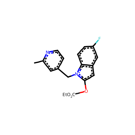 CCOC(=O)Oc1cc2cc(F)ccc2n1Cc1ccnc(C)c1